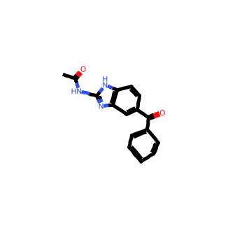 CC(=O)Nc1nc2cc(C(=O)c3ccccc3)ccc2[nH]1